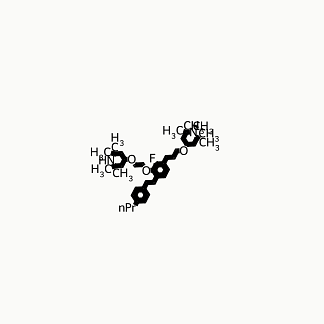 CCCc1ccc(CCc2ccc(CCCOC3CC(C)(C)N(C)C(C)(C)C3)c(F)c2OCCOC2CC(C)(C)NC(C)(C)C2)cc1